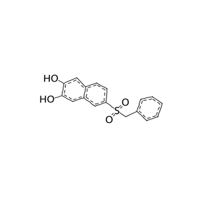 O=S(=O)(Cc1ccccc1)c1ccc2cc(O)c(O)cc2c1